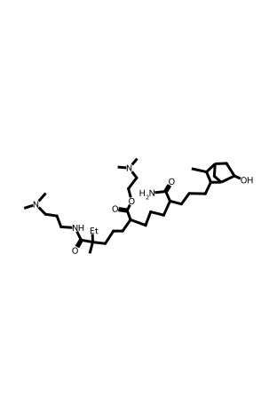 CCC(C)(CCCC(CCCC(CCCC1C(C)C2CC(O)C1C2)C(N)=O)C(=O)OCCN(C)C)C(=O)NCCCN(C)C